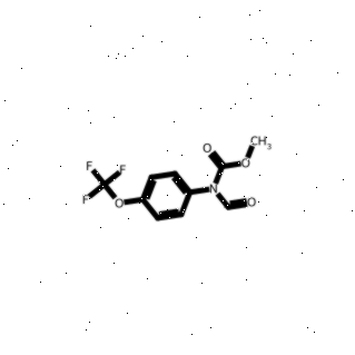 COC(=O)N([C]=O)c1ccc(OC(F)(F)F)cc1